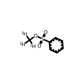 [2H]C([2H])([2H])OS(=O)(=O)c1ccccc1